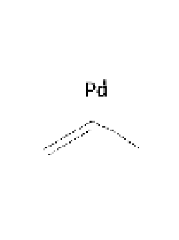 C=CC.[Pd]